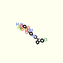 CC(c1ccccc1-c1ccc(Cl)cc1)C1CCN(c2ccc(C(=O)NS(=O)(=O)c3ccc(N)c(S(=O)(=O)C(F)(F)F)c3)cc2)CC1